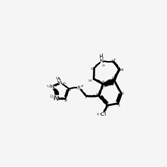 Clc1ccc2c(c1CSc1cnn[nH]1)CCNCC2